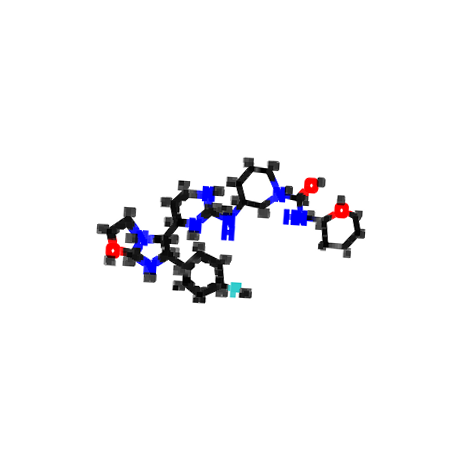 O=C(NC1CCCCO1)N1CCCC(Nc2nccc(-c3c(-c4ccc(F)cc4)nc4occn34)n2)C1